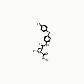 CCc1ccc(Oc2ccc(NC(=O)[C@](C)(CO)NC(=O)OC(C)(C)C)cc2)cc1